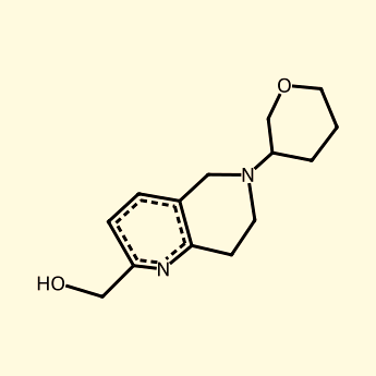 OCc1ccc2c(n1)CCN(C1CCCOC1)C2